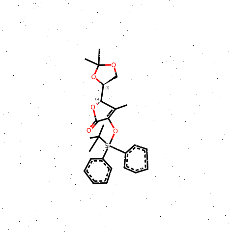 CC1=C(O[Si](c2ccccc2)(c2ccccc2)C(C)(C)C)C(=O)O[C@@H]1[C@@H]1COC(C)(C)O1